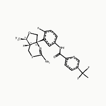 CC(F)(F)c1ccc(C(=O)Nc2ccc(F)c([C@]34CO[C@H](C(F)(F)F)[C@H]3CSC(N)=N4)c2)nc1